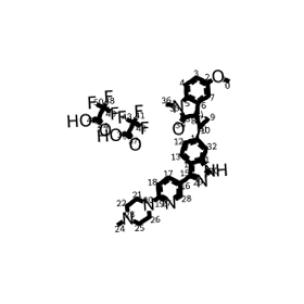 COc1ccc2c(c1)[C@]1(C[C@H]1c1ccc3c(-c4ccc(N5CCN(C)CC5)nc4)n[nH]c3c1)C(=O)N2C.O=C(O)C(F)(F)F.O=C(O)C(F)(F)F